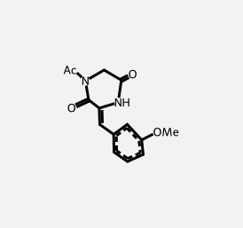 COc1cccc(C=C2NC(=O)CN(C(C)=O)C2=O)c1